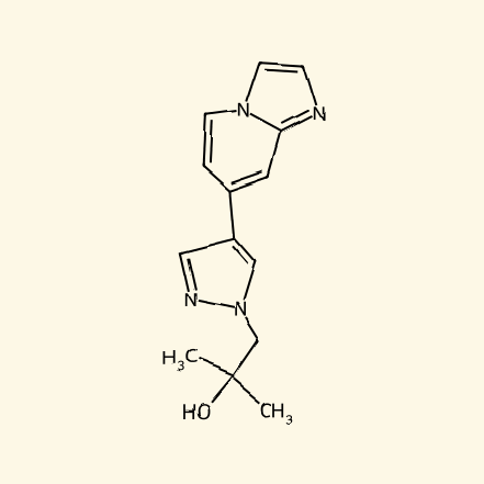 CC(C)(O)Cn1cc(-c2ccn3ccnc3c2)cn1